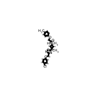 Cc1ccc(OCC(=O)NC2(C)CC(C)(c3nc(COc4ccc(Cl)cc4)no3)C2)cc1